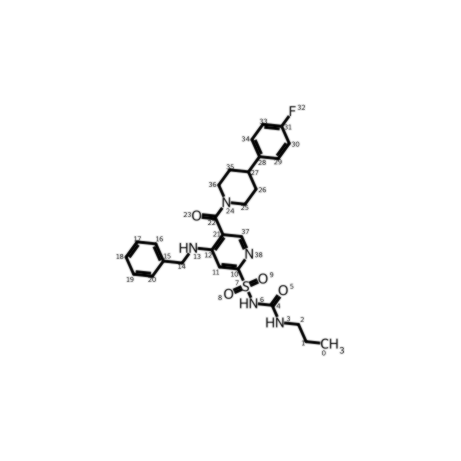 CCCNC(=O)NS(=O)(=O)c1cc(NCc2ccccc2)c(C(=O)N2CCC(c3ccc(F)cc3)CC2)cn1